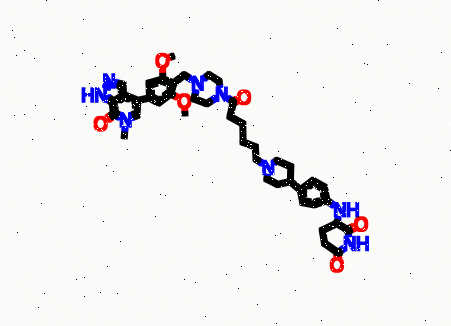 COc1cc(-c2cn(C)c(=O)c3[nH]ncc23)cc(OC)c1CN1CCN(C(=O)CCCCCN2CCC(c3ccc(NC4CCC(=O)NC4=O)cc3)CC2)CC1